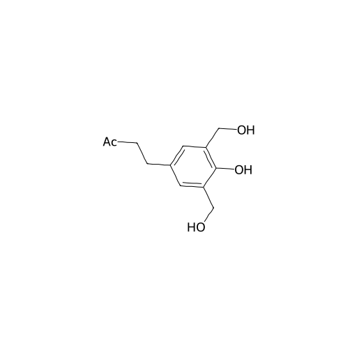 CC(=O)CCc1cc(CO)c(O)c(CO)c1